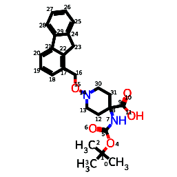 CC(C)(C)OC(=O)NC1(C(=O)O)CCN(OCc2cccc3c2Cc2ccccc2-3)CC1